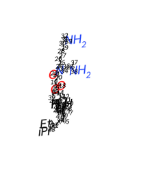 CC[C@H](CC[C@@H](C)[C@H]1CC[C@H]2[C@@H]3CC=C4C[C@@H](OC(=O)CCC(=O)N(CCCCCCCC(C)N)CCC(C)N)CC[C@]4(C)[C@H]3CC[C@]12C)C(C)C